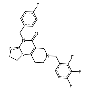 O=C1C2=C(CCN(Cc3ccc(F)c(F)c3F)C2)N2CCN=C2N1Cc1ccc(F)cc1